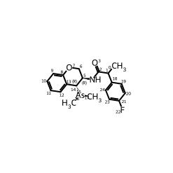 CC(C(=O)N[C@@H]1COc2ccccc2[C@H]1[As](C)C)c1ccc(F)cc1